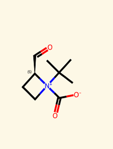 CC(C)(C)[N+]1(C(=O)[O-])CC[C@H]1C=O